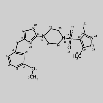 COc1cccc(Cc2csc(N3CCN(S(=O)(=O)c4c(I)noc4C)CC3)n2)c1